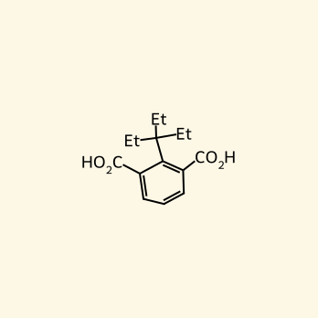 CCC(CC)(CC)c1c(C(=O)O)cccc1C(=O)O